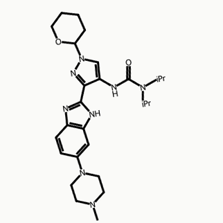 CC(C)N(C(=O)Nc1cn(C2CCCCO2)nc1-c1nc2ccc(N3CCN(C)CC3)cc2[nH]1)C(C)C